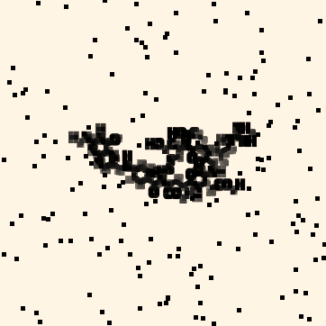 CCCSSC[C@H](NC(=O)[C@H](CC(=O)O)NC(=O)[C@H](CCCNC(=N)N)NC(=O)[C@H](CC(=O)O)NC(=O)CC[C@H](NC(=O)c1ccc(NCc2cnc3nc(N)[nH]c(=O)c3n2)cc1)C(=O)O)C(=O)O